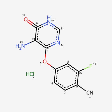 Cl.N#Cc1ccc(Oc2nc[nH]c(=O)c2N)cc1F